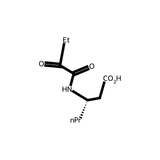 CCC[C@@H](CC(=O)O)NC(=O)C(=O)CC